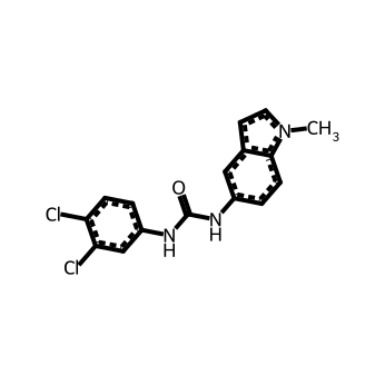 Cn1ccc2cc(NC(=O)Nc3ccc(Cl)c(Cl)c3)ccc21